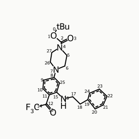 CC(C)(C)OC(=O)N1CCN(c2ccc(C(=O)C(F)(F)F)c(NCCc3ccccc3)c2)CC1